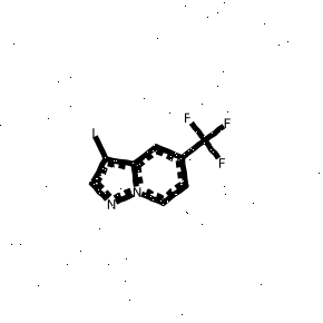 FC(F)(F)c1ccn2ncc(I)c2c1